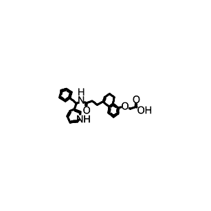 O=C(O)COc1cccc2c1CCC=C2CCC(=O)NC(C1=CNC=CC=C1)c1ccccc1